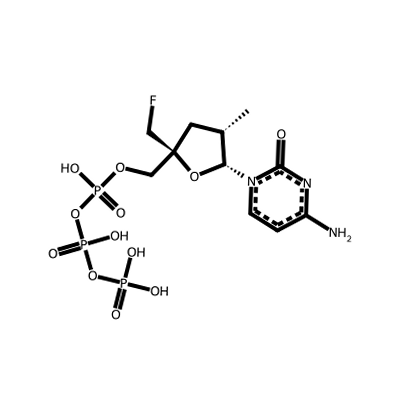 C[C@H]1C[C@@](CF)(COP(=O)(O)OP(=O)(O)OP(=O)(O)O)O[C@H]1n1ccc(N)nc1=O